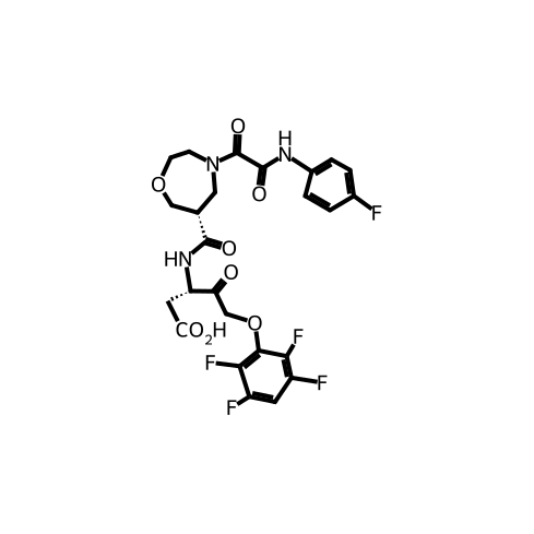 O=C(O)C[C@H](NC(=O)[C@@H]1COCCN(C(=O)C(=O)Nc2ccc(F)cc2)C1)C(=O)COc1c(F)c(F)cc(F)c1F